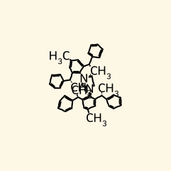 Cc1cc([C@H](C)c2ccccc2)c(N2C=[N+](c3c([C@H](C)c4ccccc4)cc(C)cc3[C@H](C)c3ccccc3)CC2)c([C@H](C)c2ccccc2)c1